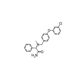 CN(Cc1ccc(Oc2cccc(Cl)c2)cc1)[C@@H](C(N)=O)c1ccccc1